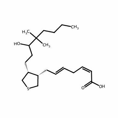 CCCCC(C)(C)C(O)CC[C@H]1CSC[C@H]1CC=CC/C=C\C(=O)O